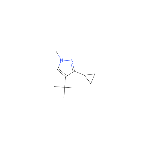 Cn1cc(C(C)(C)C)c(C2CC2)n1